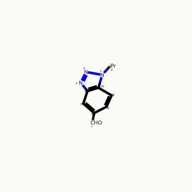 CC(C)n1nnc2cc([C]=O)ccc21